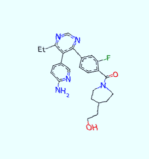 CCc1ncnc(-c2ccc(C(=O)N3CCC(CCO)CC3)c(F)c2)c1-c1ccc(N)nc1